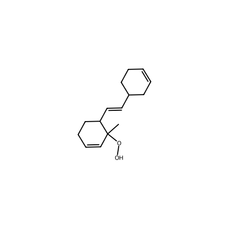 CC1(OO)C=CCCC1C=CC1CC=CCC1